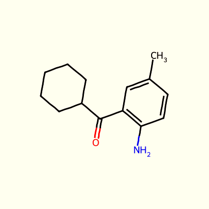 Cc1ccc(N)c(C(=O)C2CCCCC2)c1